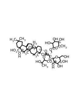 C[C@H](O)C(O[C@@H](O[C@H]1CCC2(C)C(CC[C@]3(C)C2CC=C2C4CC(C)(C)CC[C@]4(C(=O)O)[C@H](O)C[C@]23C)[C@@]1(C)C=O)[C@H](CO[C@@H]1O[C@@H](C)[C@H](O)C(O)C1O)O[C@@H]1OC(CO)[C@H](O)C(O)[C@@H]1O)C(=O)O